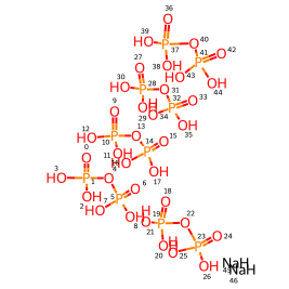 O=P(O)(O)OP(=O)(O)O.O=P(O)(O)OP(=O)(O)O.O=P(O)(O)OP(=O)(O)O.O=P(O)(O)OP(=O)(O)O.O=P(O)(O)OP(=O)(O)O.[NaH].[NaH]